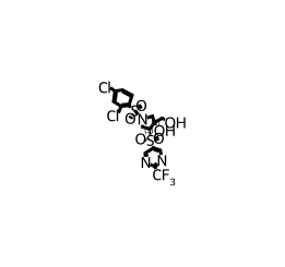 O=S(=O)(c1cnc(C(F)(F)F)nc1)[C@H]1CN(S(=O)(=O)c2ccc(Cl)cc2Cl)C[C@@]1(O)CO